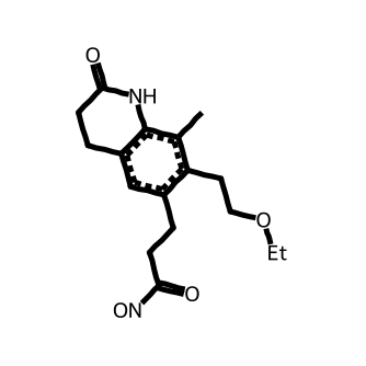 CCOCCc1c(CCC(=O)N=O)cc2c(c1C)NC(=O)CC2